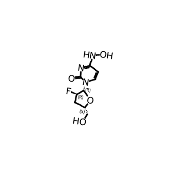 O=c1nc(NO)ccn1[C@@H]1O[C@H](CO)C[C@H]1F